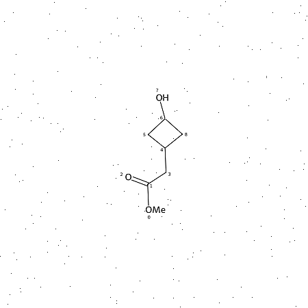 COC(=O)CC1CC(O)C1